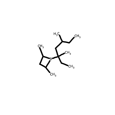 CCC(C)CC(C)(CC)B1C(C)CC1C